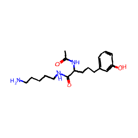 CC(=O)NC(CCCc1cccc(O)c1)C(=O)NCCCCCN